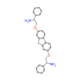 NC(COc1ccc2c(c1)Cc1cc(OCC(N)c3ccccc3)ccc1-2)c1ccccc1